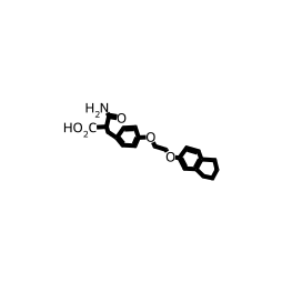 NC(=O)C(Cc1ccc(OCCOc2ccc3c(c2)CCCC3)cc1)C(=O)O